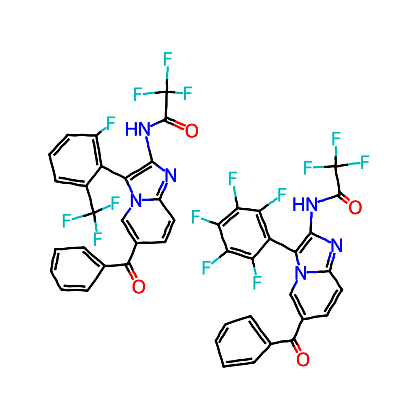 O=C(c1ccccc1)c1ccc2nc(NC(=O)C(F)(F)F)c(-c3c(F)c(F)c(F)c(F)c3F)n2c1.O=C(c1ccccc1)c1ccc2nc(NC(=O)C(F)(F)F)c(-c3c(F)cccc3C(F)(F)F)n2c1